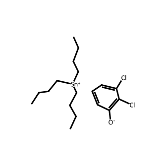 CCC[CH2][Sn+]([CH2]CCC)[CH2]CCC.[O-]c1cccc(Cl)c1Cl